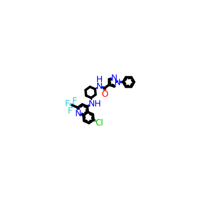 O=C(N[C@@H]1CCC[C@H](Nc2cc(C(F)(F)F)nc3ccc(Cl)cc23)C1)c1cnn(-c2ccccc2)c1